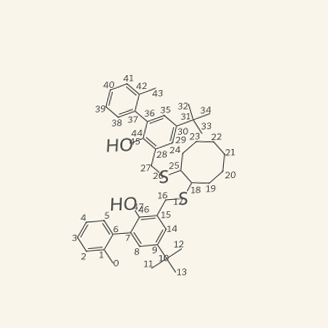 Cc1ccccc1-c1cc(C(C)(C)C)cc(CSC2CCCCCCC2SCc2cc(C(C)(C)C)cc(-c3ccccc3C)c2O)c1O